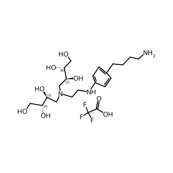 NCCCCc1ccc(NCCN(C[C@H](O)[C@H](O)CO)C[C@H](O)[C@H](O)CO)cc1.O=C(O)C(F)(F)F